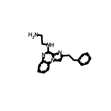 NCCNc1nc2ccccc2n2cc(CCc3ccccc3)nc12